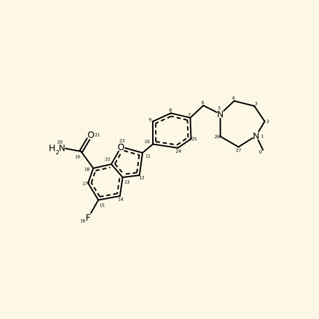 CN1CCCN(Cc2ccc(-c3cc4cc(F)cc(C(N)=O)c4o3)cc2)CC1